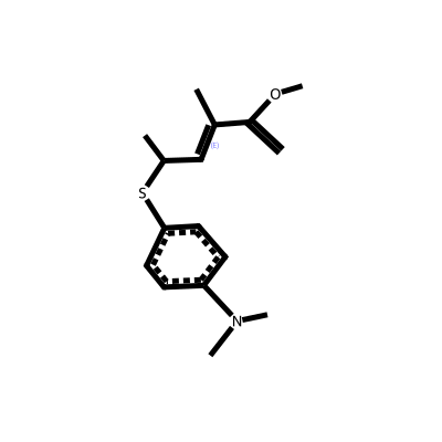 C=C(OC)/C(C)=C/C(C)Sc1ccc(N(C)C)cc1